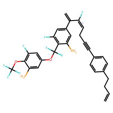 C=CCCc1ccc(C#CC/C=C(/F)C(=C)c2cc(F)c(C(F)(F)Oc3cc(F)c(OC(F)(F)F)c(P)c3)c(P)c2)cc1